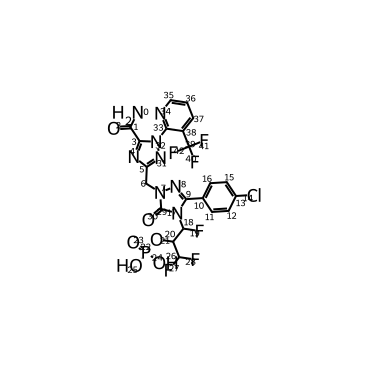 NC(=O)c1nc(Cn2nc(-c3ccc(Cl)cc3)n(C(F)C(OP(=O)(O)O)C(F)F)c2=O)nn1-c1ncccc1C(F)(F)F